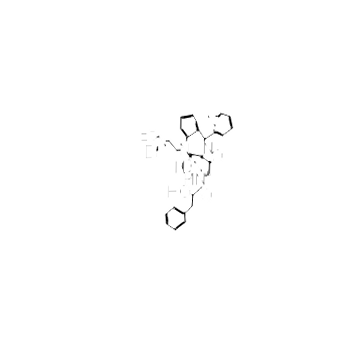 CCN(CC)CCN1C(=O)C(N)(C(=O)[C@H](C)NC(=O)C(O)Cc2ccccc2)N=C(c2ccccn2)c2ccccc21